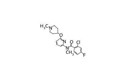 CN1CCC(Oc2cccc(N(C)C(=O)c3ccc(F)cc3Cl)n2)CC1